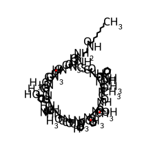 CCCCCCCCCC(=O)NCCCC[C@H](NC(=O)[C@@H]1CSCC(=O)N[C@@H](Cc2c[nH]c3ccccc23)C(=O)N[C@@H]([C@@H](C)O)C(=O)N(C)CC(=O)N[C@@H](CC(=O)O)C(=O)N(C)[C@@H](Cc2ccccc2)C(=O)N(C)[C@@H](Cc2ccccc2)C(=O)N[C@@H](C)C(=O)N(C)[C@@H](C)C(=O)N[C@@H](Cc2cnc[nH]2)C(=O)N[C@@H](Cc2ccc(O)cc2)C(=O)N[C@@H](CC)C(=O)NC(C(C)C)C(=O)N2CCC[C@H]2C(=O)N[C@@H](C)C(=O)N1)C(N)=O